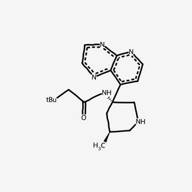 C[C@@H]1CNC[C@](NC(=O)CC(C)(C)C)(c2ccnc3nccnc23)C1